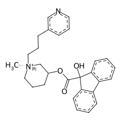 C[N@@+]1(CCCc2cccnc2)CCCC(OC(=O)C2(O)c3ccccc3-c3ccccc32)C1